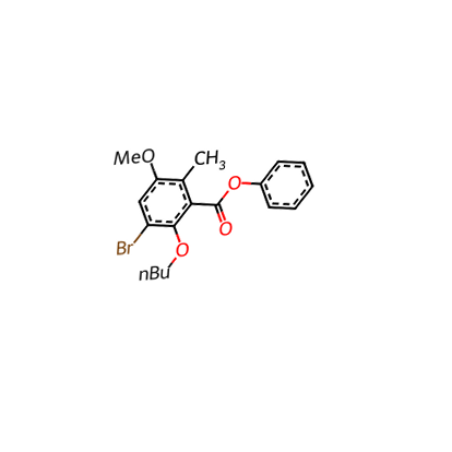 CCCCOc1c(Br)cc(OC)c(C)c1C(=O)Oc1ccccc1